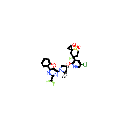 CC(=O)[C@@H]1C[C@H](Oc2ncc(Cl)cc2[C@@]2(F)CCS(=O)(=O)C3(CC3)C2)CN1c1nc(C(F)F)nc2c1oc1ccccc12